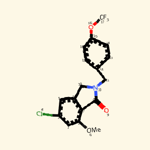 COc1cc(Cl)cc2c1C(=O)N(Cc1ccc(OC(F)(F)F)cc1)C2